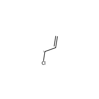 C=C[C]Cl